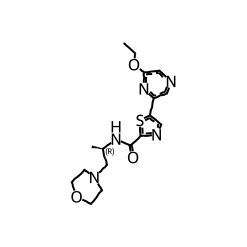 CCOc1cncc(-c2cnc(C(=O)N[C@H](C)CN3CCOCC3)s2)n1